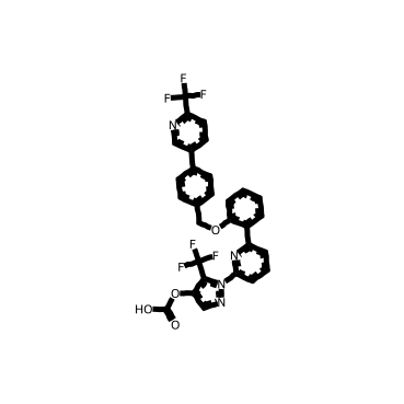 O=C(O)Oc1cnn(-c2cccc(-c3ccccc3OCc3ccc(-c4ccc(C(F)(F)F)nc4)cc3)n2)c1C(F)(F)F